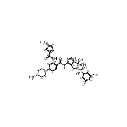 CN1CCN(c2ccc(C(=O)Nc3n[nH]c4c3CN(S(=O)(=O)c3cc(F)cc(F)c3)C4(C)C)c(NC(=O)c3cn(C)cn3)c2)CC1